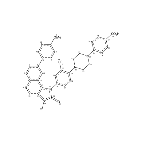 COc1ccc(-c2ccc3ncc4c(c3c2)n(-c2ccc(N3CCN(c5ncc(C(=O)O)cn5)CC3)c(C(F)(F)F)c2)c(=O)n4C)cn1